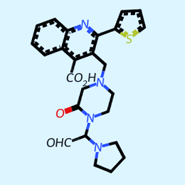 O=CC(N1CCCC1)N1CCN(Cc2c(-c3cccs3)nc3ccccc3c2C(=O)O)CC1=O